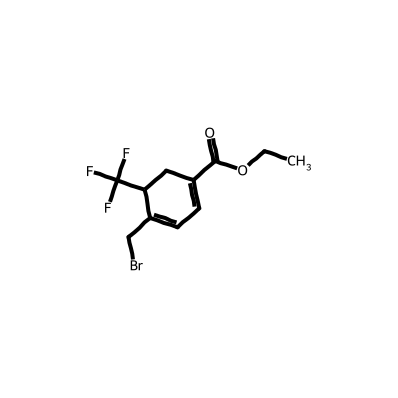 CCOC(=O)C1=CC=C(CBr)C(C(F)(F)F)C1